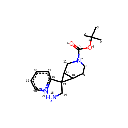 CC(C)(C)OC(=O)N1CCC2C(C1)C2(CN)c1ccccn1